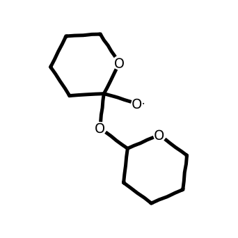 [O]C1(OC2CCCCO2)CCCCO1